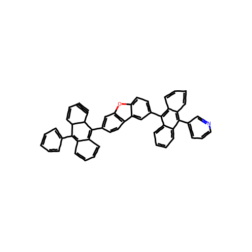 C1#CC2C(c3ccc4c(c3)oc3ccc(-c5c6ccccc6c(-c6cccnc6)c6ccccc56)cc34)=c3ccccc3=C(c3ccccc3)C2C=C1